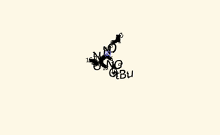 C=CCO/N=C1\CN(C(=O)OC(C)(C)C)Cc2oc(C)nc21